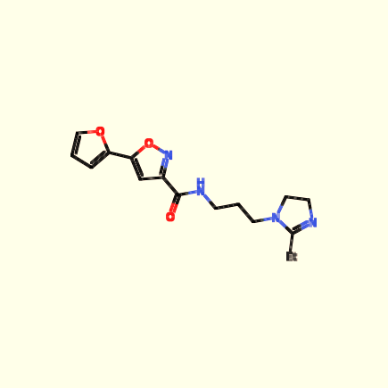 CCC1=NCCN1CCCNC(=O)c1cc(-c2ccco2)on1